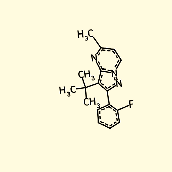 Cc1ccn2nc(-c3ccccc3F)c(C(C)(C)C)c2n1